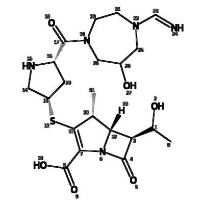 CC(O)[C@H]1C(=O)N2C(C(=O)O)=C(S[C@@H]3CN[C@H](C(=O)N4CCN(C=N)CC(O)C4)C3)[C@H](C)[C@H]12